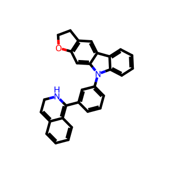 C1=c2ccccc2=C(c2cccc(-n3c4ccccc4c4cc5c(cc43)OCC5)c2)NC1